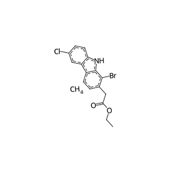 C.CCOC(=O)Cc1ccc2c([nH]c3ccc(Cl)cc32)c1Br